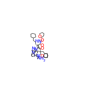 CCCC(Cc1ccccc1)(C(=O)NN)C(=O)[C@@H]([C@H](CCCC1CCCCC1)C(=O)NOC1CCCCO1)N1CN(C)C=N1